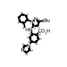 Cc1ccccc1-n1nc(C(C)(C)C)cc1Nc1cc(-n2ccnc2)ccc1C(=O)O